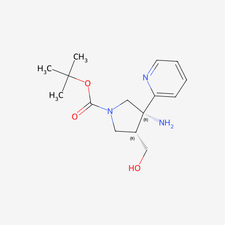 CC(C)(C)OC(=O)N1C[C@@H](CO)[C@](N)(c2ccccn2)C1